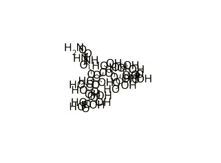 NOCC(=O)NNC(=O)CCCO[C@@H]1OC(CO[C@H]2OC(CO[C@H]3OC(CO)[C@@H](O)[C@H](O)C3C[C@H]3OC(COP(=O)(O)O)[C@@H](O)[C@H](O)C3O)[C@@H](O)[C@H](O)C2O)[C@@H](O)[C@H](O[C@H]2OC(CO)[C@@H](O)[C@H](O)C2O[C@H]2OC(COP(=O)(O)O)[C@@H](O)[C@H](O)C2O)C1O